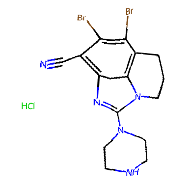 Cl.N#Cc1c(Br)c(Br)c2c3c1nc(N1CCNCC1)n3CCC2